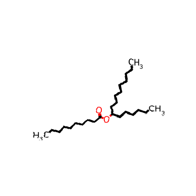 CCCCCCCCCC(=O)OC(CCCCCC)CCCCCCCCC